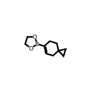 C1=C(B2OCCO2)CCC2(C1)CC2